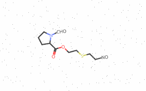 O=CN1CCCC1C(=O)OCCSCCN=O